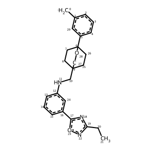 [CH2]c1cccc(C23CCC(CNc4cccc(-c5nc(CC)no5)c4)(CC2)CO3)c1